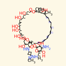 C[C@@H]1OC(=O)CC(O)CC(O)CCC(O)C(O)C[C@H](O)CC2(O)C[C@H](O)C(C(=O)NC3CC4(C3)NN4C)[C@H](CC(O[C@@H]3O[C@H](C)[C@@H](O)[C@H](N)[C@@H]3O)/C=C/C=C/C=C/C=C/C=C/C=C/C=C/[C@H](C)C(O)[C@H]1C)O2